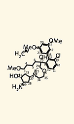 C=O.COCCCC[C@@](O)(c1cccc(Cl)c1-c1cc(OC)cc(OC)c1)[C@H]1CN([C@H]2C[C@@H](N)[C@@H](O)C2)CCO1